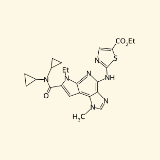 CCOC(=O)c1cnc(Nc2nc3c(cc(C(=O)N(C4CC4)C4CC4)n3CC)c3c2ncn3C)s1